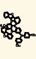 Cc1cc2c3c(c1)-n1c4c(cccc4c4oc5ccccc5c41)B3c1ccc(N(c3ccc(C(C)(C)C)cc3)c3ccc(C(C)(C)C)cc3)cc1N2c1cccc2oc3ccccc3c12